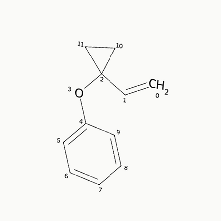 C=CC1(Oc2ccccc2)CC1